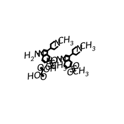 CN1CCC(c2cn(N)c3ccc(S(C)(=O)=O)cc23)CC1.CN1CCC(c2cn(N)c3ccc(S(C)(=O)=O)cc23)CC1.O=C(O)C(=O)O